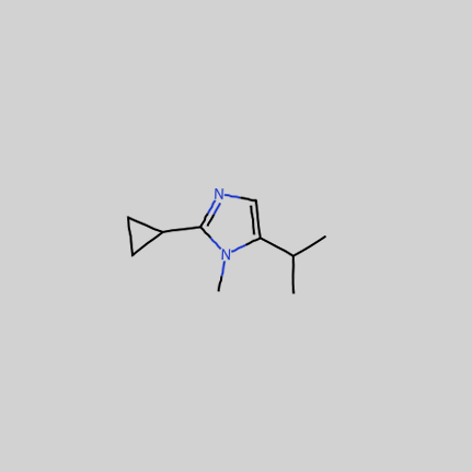 CC(C)c1cnc(C2CC2)n1C